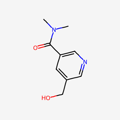 CN(C)C(=O)c1cncc(CO)c1